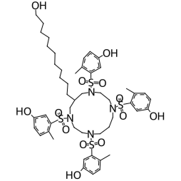 Cc1ccc(O)cc1S(=O)(=O)N1CCCN(S(=O)(=O)c2cc(O)ccc2C)CCN(S(=O)(=O)c2cc(O)ccc2C)CC(CCCCCCCCCCCO)CN(S(=O)(=O)c2cc(O)ccc2C)CC1